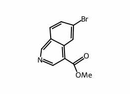 COC(=O)c1cncc2ccc(Br)cc12